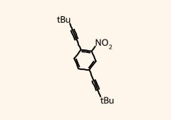 CC(C)(C)C#Cc1ccc(C#CC(C)(C)C)c([N+](=O)[O-])c1